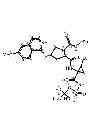 CCC1CC1(NC(=O)C1CC(Oc2nccc3cc(OC)ccc23)CN1C(=O)OC(C)(C)C)C(=O)NS(=O)(=O)OC(C)(C)C(F)(F)F